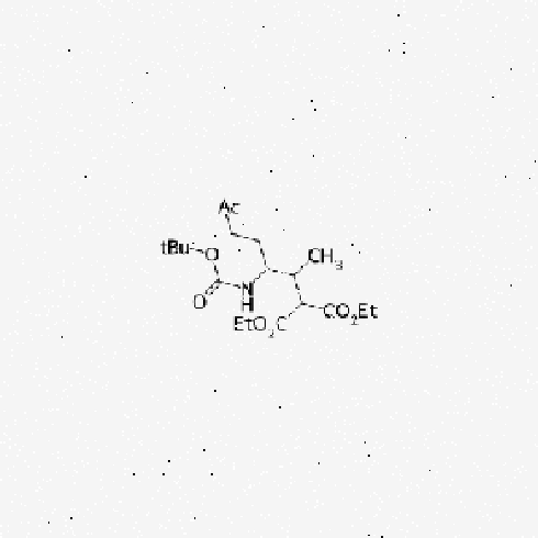 CCOC(=O)C(C(=O)OCC)C(C)C(CCC(C)=O)NC(=O)OC(C)(C)C